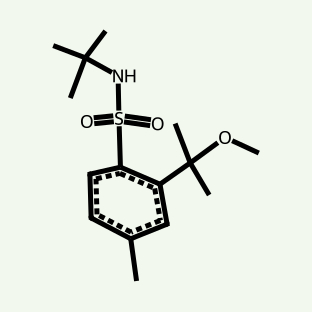 COC(C)(C)c1cc(C)ccc1S(=O)(=O)NC(C)(C)C